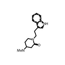 CNC1CCN(CCc2c[nH]c3ccccc23)C(=O)C1